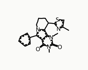 Cc1csc(C2CCCn3c(-c4ccccc4)c4c(=O)n(C)c(=O)n(C)c4c32)n1